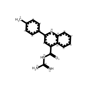 Cc1ccc(-c2cc(C(=O)NC(=N)N)c3ccccc3n2)cc1